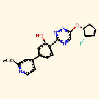 COc1cc(-c2ccc(-c3ncc(O[C@@H]4CC=C[C@@H]4F)nn3)c(O)c2)ccn1